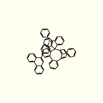 c1ccc(-c2c3cccc2C(c2ccccc2)(c2ccccc2N(c2ccccc2)c2ccc(-c4cc5ccccc5c5ccccc45)cc2)c2ccccc2-c2ccccc2-3)cc1